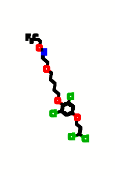 FC(F)(F)CON=CCOCCCCCOc1c(Cl)cc(OCC=C(Cl)Cl)cc1Cl